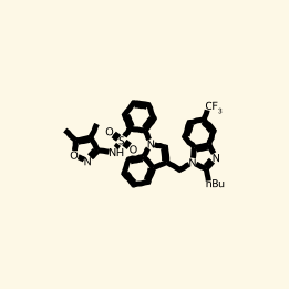 CCCCc1nc2cc(C(F)(F)F)ccc2n1Cc1cn(-c2ccccc2S(=O)(=O)Nc2noc(C)c2C)c2ccccc12